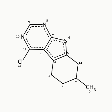 CC1CCc2c(sc3ncnc(Cl)c23)C1